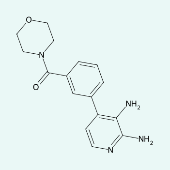 Nc1nccc(-c2cccc(C(=O)N3CCOCC3)c2)c1N